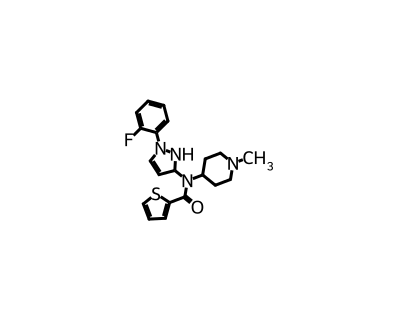 CN1CCC(N(C(=O)c2cccs2)C2C=CN(c3ccccc3F)N2)CC1